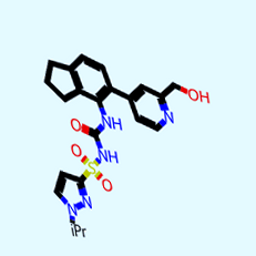 CC(C)n1ccc(S(=O)(=O)NC(=O)Nc2c(-c3ccnc(CO)c3)ccc3c2CCC3)n1